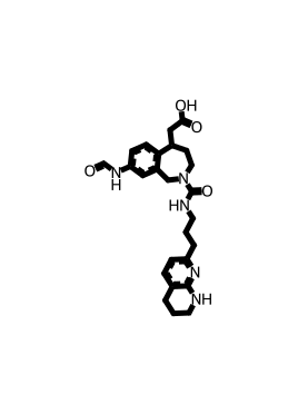 O=CNc1ccc2c(c1)CN(C(=O)NCCCc1ccc3c(n1)NCCC3)CCC2CC(=O)O